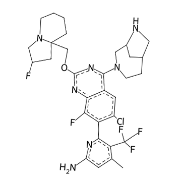 Cc1cc(N)nc(-c2c(Cl)cc3c(N4CCC5CNC(C5)C4)nc(OCC45CCCCN4CC(F)C5)nc3c2F)c1C(F)(F)F